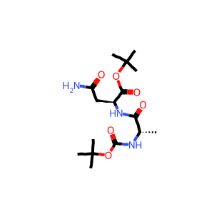 C[C@H](NC(=O)OC(C)(C)C)C(=O)N[C@@H](CC(N)=O)C(=O)OC(C)(C)C